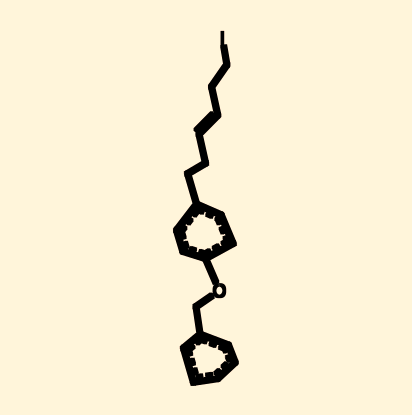 ICCC=CCCc1ccc(OCc2ccccc2)cc1